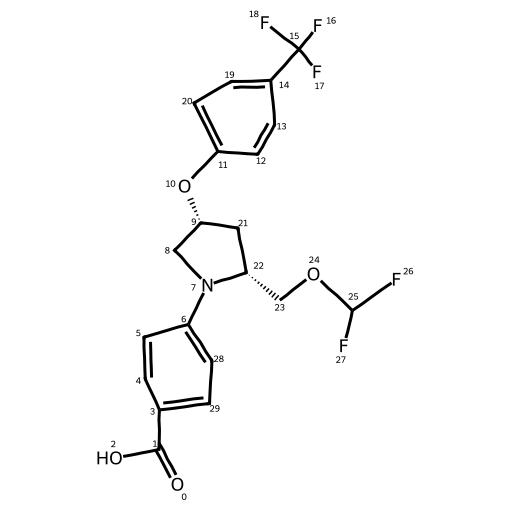 O=C(O)c1ccc(N2C[C@H](Oc3ccc(C(F)(F)F)cc3)C[C@@H]2COC(F)F)cc1